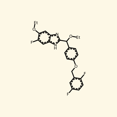 CCOc1cc2nc(C(OCC)c3ccc(OCc4cc(F)ccc4F)cc3)[nH]c2cc1F